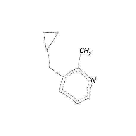 [CH2]c1ncccc1CC1CC1